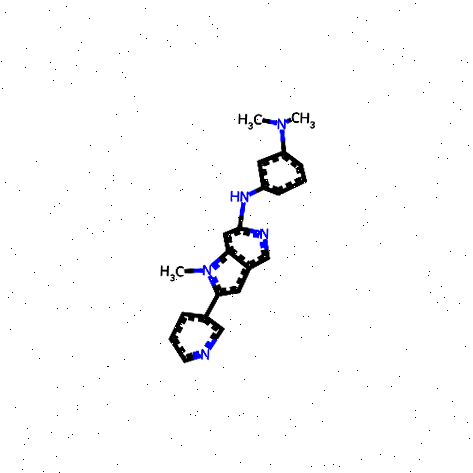 CN(C)c1cccc(Nc2cc3c(cn2)cc(-c2cccnc2)n3C)c1